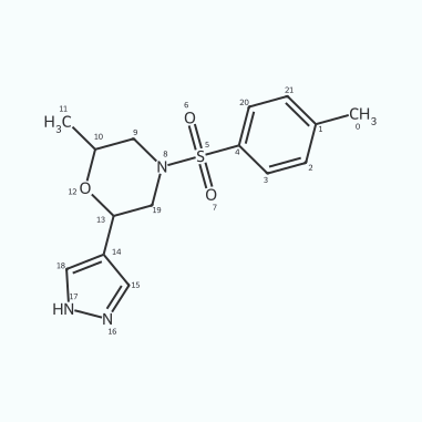 Cc1ccc(S(=O)(=O)N2CC(C)OC(c3cn[nH]c3)C2)cc1